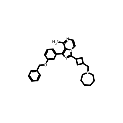 Nc1nccn2c(C3CC(CN4CCCCCC4)C3)nc(-c3cccc(OCc4ccccc4)c3)c12